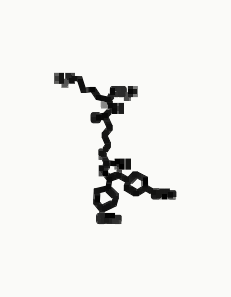 COc1ccc(-c2nc(SCCCC(=O)N[C@@H](CCCCN)C(=O)O)[nH]c2-c2ccc(OC)cc2)cc1